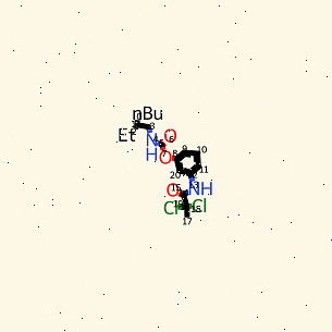 CCCCC(CC)CNC(=O)Oc1cccc(NC(=O)C(C)(Cl)Cl)c1